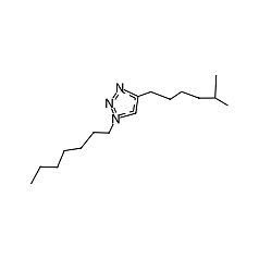 CCCCCCCn1cc(CCCCC(C)C)nn1